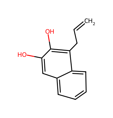 C=CCc1c(O)c(O)cc2ccccc12